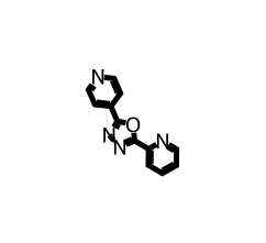 c1ccc(-c2nnc(-c3ccncc3)o2)nc1